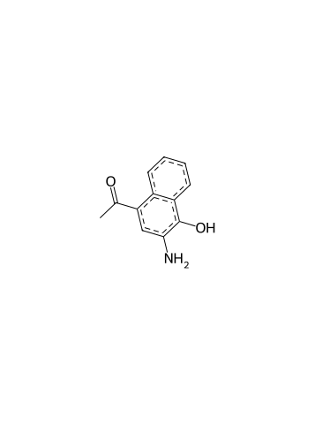 CC(=O)c1cc(N)c(O)c2ccccc12